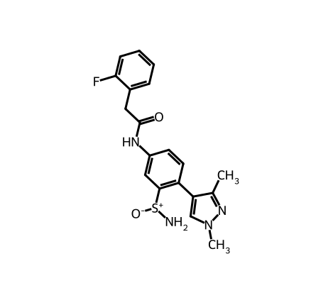 Cc1nn(C)cc1-c1ccc(NC(=O)Cc2ccccc2F)cc1[S+](N)[O-]